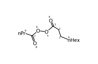 CCCCCCCCC(=O)OOC(=O)CCC